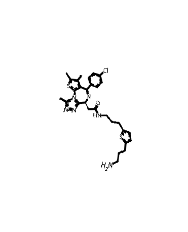 Cc1sc2c(c1C)C(c1ccc(Cl)cc1)=N[C@@H](CC(=O)NCCCc1ccc(CCCN)s1)c1nnc(C)n1-2